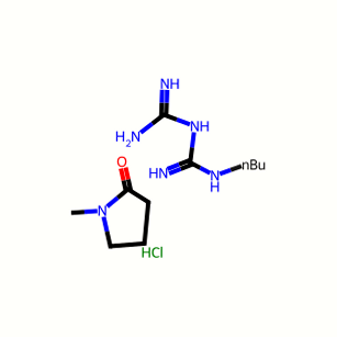 CCCCNC(=N)NC(=N)N.CN1CCCC1=O.Cl